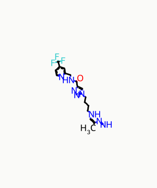 C/C(=C/NCCCCn1cc(C(=O)NCc2cc(C(F)(F)F)ccn2)nn1)N=N